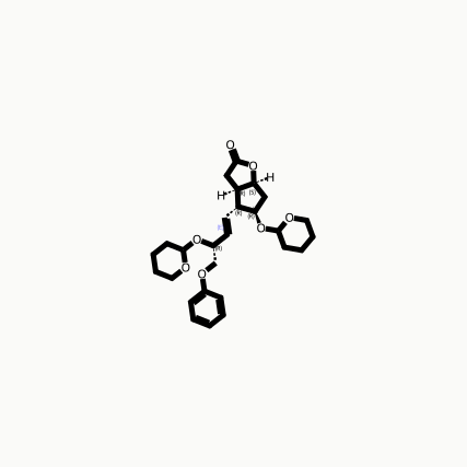 O=C1C[C@@H]2[C@@H](/C=C/[C@H](COc3ccccc3)OC3CCCCO3)[C@H](OC3CCCCO3)C[C@@H]2O1